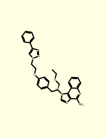 CCOC[C@H](Cc1ccc(OCCn2cc(-c3ccccc3)nn2)cc1)n1cnc2c(N)nc3ccccc3c21